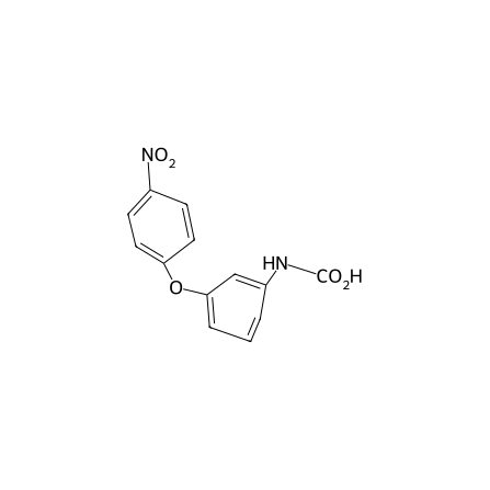 O=C(O)Nc1cccc(Oc2ccc([N+](=O)[O-])cc2)c1